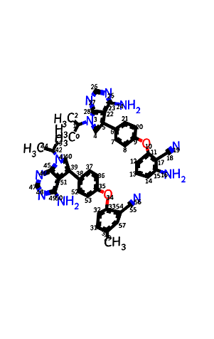 CC(C)n1cc(-c2ccc(Oc3cccc(N)c3C#N)cc2)c2c(N)ncnc21.Cc1ccc(Oc2ccc(-c3cn(C(C)C)c4ncnc(N)c34)cc2)c(C#N)c1